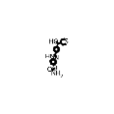 NC(=O)Oc1ccc2[nH]c(-c3ccc(C(O)C4CCSCC4)cc3)nc2c1